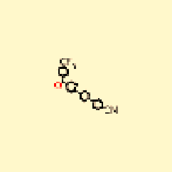 N#Cc1ccc(-c2ccc(-c3ccc(C(=O)c4ccc(C(F)(F)F)cc4)cc3)cc2)cc1